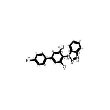 CCc1ccc(-c2cc(Cl)c(-n3nnc4ccccc43)c(Cl)c2)cc1